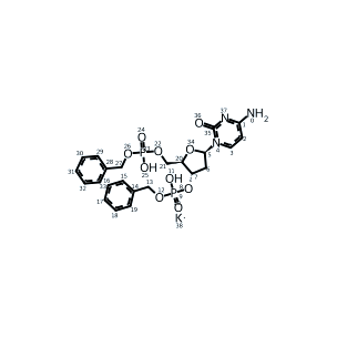 Nc1ccn([C@H]2C[C@H](OP(=O)(O)OCc3ccccc3)[C@@H](COP(=O)(O)OCc3ccccc3)O2)c(=O)n1.[K]